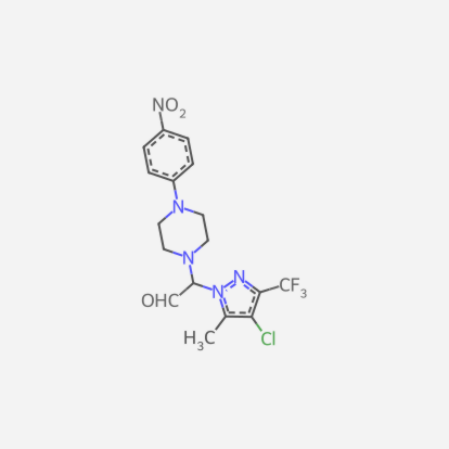 Cc1c(Cl)c(C(F)(F)F)nn1C(C=O)N1CCN(c2ccc([N+](=O)[O-])cc2)CC1